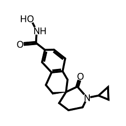 O=C(NO)c1ccc2c(c1)CC[C@@]1(CCCN(C3CC3)C1=O)C2